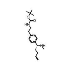 C=CCC[C@@H](NC)c1ccc(CCNC(=O)OC(C)(C)C)cc1